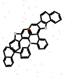 c1cc(-c2cccc3ccccc23)cc(N(c2ccccc2-c2cccc3c2oc2c4ccccc4ccc32)c2cccc3oc4ccccc4c23)c1